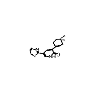 C[C@H]1CC=C(c2cc(-c3ncccn3)c[nH]c2=O)CC1